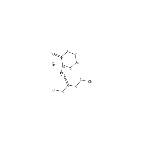 O=C(CCl)CCCl.O=C1CCCCC1(Br)Br